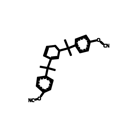 CC(C)(C1=CC(C(C)(C)c2ccc(OC#N)cc2)CC=C1)c1ccc(OC#N)cc1